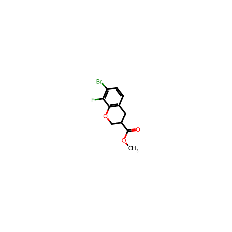 COC(=O)C1COc2c(ccc(Br)c2F)C1